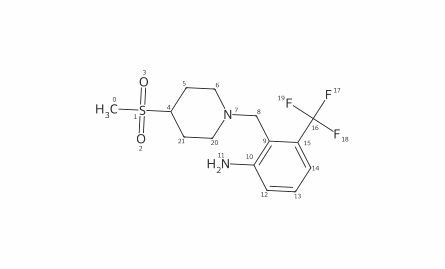 CS(=O)(=O)C1CCN(Cc2c(N)cccc2C(F)(F)F)CC1